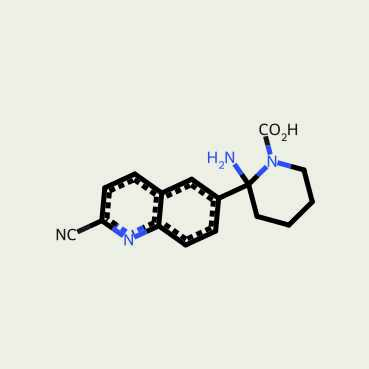 N#Cc1ccc2cc(C3(N)CCCCN3C(=O)O)ccc2n1